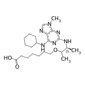 CC(OCCCCCCC(=O)O)[C@H](C)Nc1nc(NC2CCCCC2)c2ncn(C)c2n1